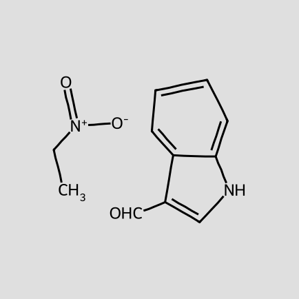 CC[N+](=O)[O-].O=Cc1c[nH]c2ccccc12